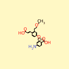 CCOCCc1cc(OC)ccc1C=CC(=O)O.Nc1ccc(C(=O)O)cc1